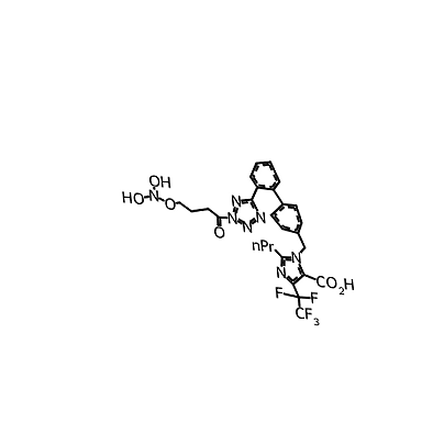 CCCc1nc(C(F)(F)C(F)(F)F)c(C(=O)O)n1Cc1ccc(-c2ccccc2-c2nnn(C(=O)CCCON(O)O)n2)cc1